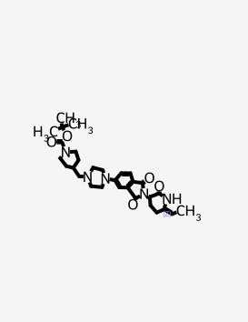 C/C=C1/CCC(N2C(=O)c3ccc(N4CCN(CC5CCN(C(=O)OC(C)(C)C)CC5)CC4)cc3C2=O)C(=O)N1